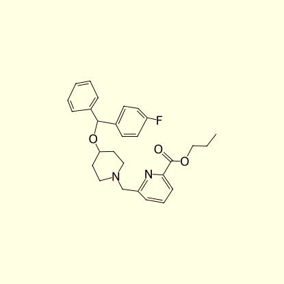 CCCOC(=O)c1cccc(CN2CCC(OC(c3ccccc3)c3ccc(F)cc3)CC2)n1